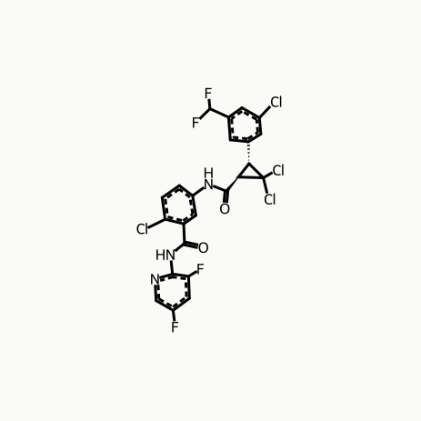 O=C(Nc1ncc(F)cc1F)c1cc(NC(=O)[C@H]2[C@H](c3cc(Cl)cc(C(F)F)c3)C2(Cl)Cl)ccc1Cl